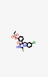 CCS(=O)(=O)Oc1cccc(C2(Cc3cccc(Br)c3)NC(=S)NC2=O)c1